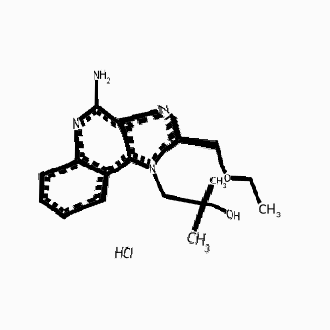 CCOCc1nc2c(N)nc3ccccc3c2n1CC(C)(C)O.Cl